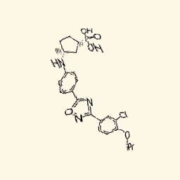 CC(C)Oc1ccc(-c2noc(-c3ccc(N[C@@H]4CC[C@H](P(=O)(O)O)C4)cc3)n2)cc1Cl